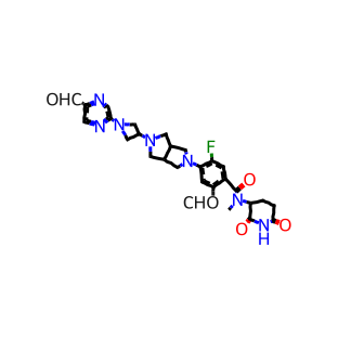 CN(C(=O)c1cc(F)c(N2CC3CN(C4CN(c5cnc(C=O)cn5)C4)CC3C2)cc1C=O)C1CCC(=O)NC1=O